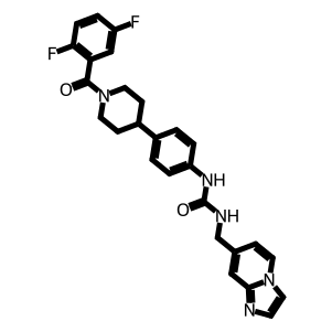 O=C(NCc1ccn2ccnc2c1)Nc1ccc(C2CCN(C(=O)c3cc(F)ccc3F)CC2)cc1